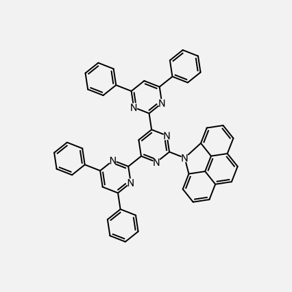 c1ccc(-c2cc(-c3ccccc3)nc(-c3cc(-c4nc(-c5ccccc5)cc(-c5ccccc5)n4)nc(-n4c5cccc6ccc7cccc4c7c65)n3)n2)cc1